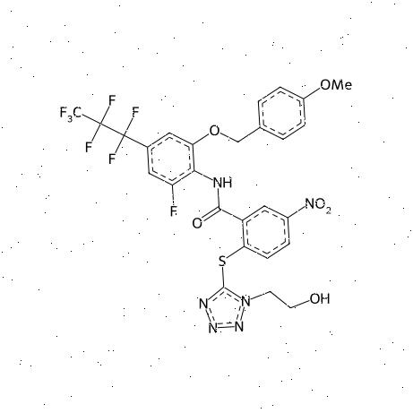 COc1ccc(COc2cc(C(F)(F)C(F)(F)C(F)(F)F)cc(F)c2NC(=O)c2cc([N+](=O)[O-])ccc2Sc2nnnn2CCO)cc1